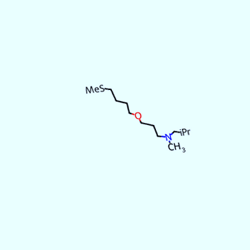 CSCCCCOCCCN(C)CC(C)C